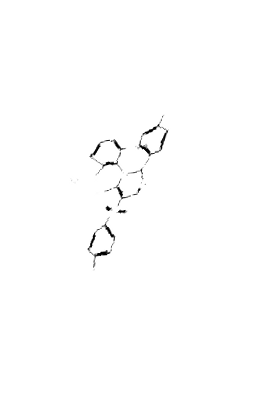 COc1cccc(OC)c1N1C(O)=C(S(=O)(=O)c2ccc(Br)cc2)C=NC1c1ccc(F)cc1